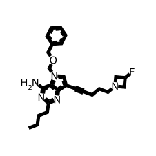 CCCCc1nc(N)c2c(n1)c(C#CCCCN1CC(F)C1)cn2COCc1ccccc1